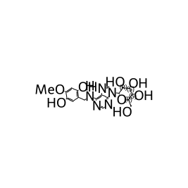 COc1cc(O)c(CNc2ncnc3c2ncn3C2O[C@H](CO)[C@@H](O)[C@H](O)[C@H]2O)cc1O